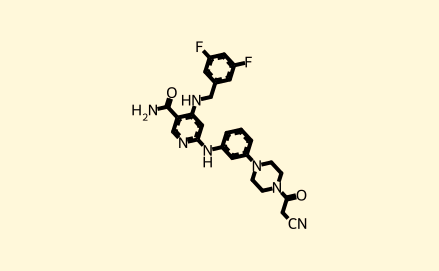 N#CCC(=O)N1CCN(c2cccc(Nc3cc(NCc4cc(F)cc(F)c4)c(C(N)=O)cn3)c2)CC1